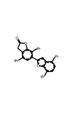 CC(C)c1cc(-c2cc3c(C(C)C)ccc(C(C)C)c3o2)c(C(C)C)c2c1CC(=O)O2